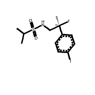 CC(C)S(=O)(=O)NC[C@@](C)(F)c1ccc(I)cc1